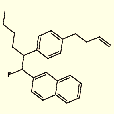 C=CCCc1ccc(C(CCCC)C(F)c2ccc3ccccc3c2)cc1